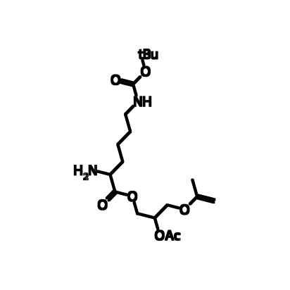 C=C(C)OCC(COC(=O)C(N)CCCCNC(=O)OC(C)(C)C)OC(C)=O